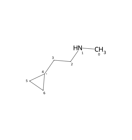 CNCC[C]1CC1